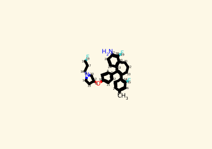 Cc1ccc(C2=C(c3ccc(OC4CCN(CCCF)C4)cc3)c3ccc(N)c(F)c3CCC2)c(F)c1